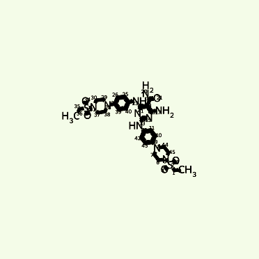 CCS(=O)(=O)N1CCN(c2ccc(Nc3nc(N)c(C(N)=O)c(Nc4ccc(N5CCN(S(=O)(=O)CC)CC5)cc4)n3)cc2)CC1